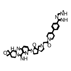 CN/C=N\C(=N)c1ccc(C2=CCN(C(=O)CN3CC[C@]4(CCN(c5ccc(N)c(C(=N)N6CCC7(CC6)COC7)n5)C4=O)C3)CC2)cc1